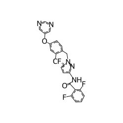 O=C(Nc1ccn(Cc2ccc(Oc3cncnc3)cc2C(F)(F)F)n1)c1c(F)cccc1F